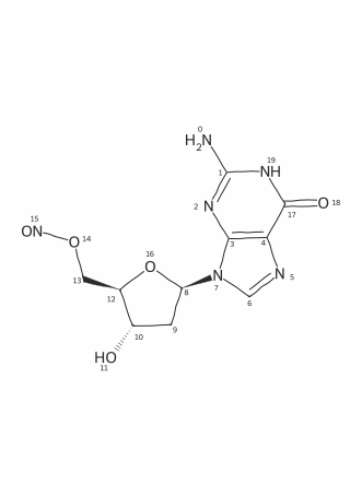 Nc1nc2c(ncn2[C@H]2C[C@H](O)[C@@H](CON=O)O2)c(=O)[nH]1